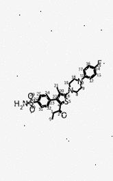 CCC(=O)c1sc(N2CCN(c3ccc(F)cc3)CC2)c(C)c1-c1ccc(S(N)(=O)=O)cc1